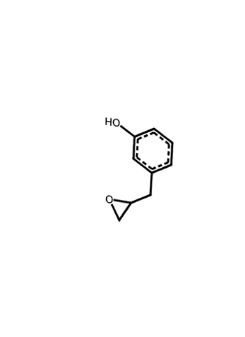 Oc1cccc(CC2CO2)c1